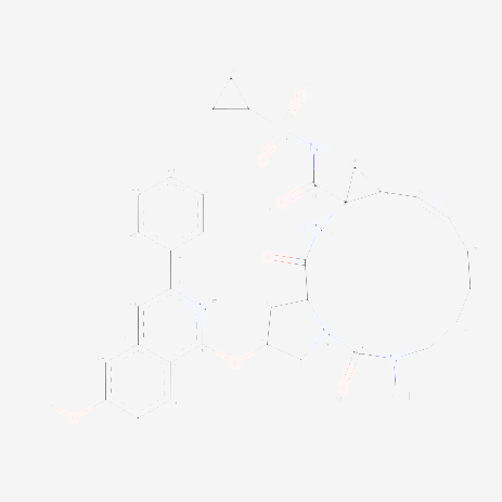 COc1ccc2c(OC3CC4C(=O)NC5(C(=O)NS(=O)(=O)C6CC6)CC5/C=C\CCCCN(C)C(=O)N4C3)nc(-c3ccccc3)cc2c1